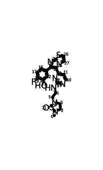 CN1CCN(CCNc2nccc(-c3c(-c4ccc(F)c(O)c4)nc4sccn34)n2)[S+]1[O-]